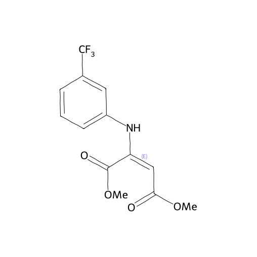 COC(=O)/C=C(/Nc1cccc(C(F)(F)F)c1)C(=O)OC